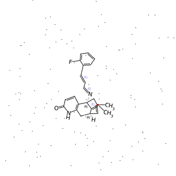 C/C=C1\[C@H]2C=C(C)C[C@]1(/N=C/C=C/c1ccccc1F)c1ccc(=O)[nH]c1C2